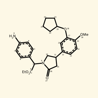 CCOC(=O)C(c1ccc(N)cc1)N1CC(c2ccc(OC)c(OC3CCCC3)c2)CC1=O